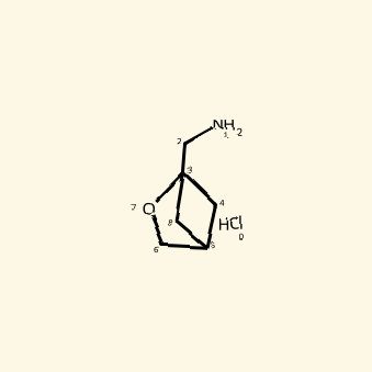 Cl.NCC12CC(CO1)C2